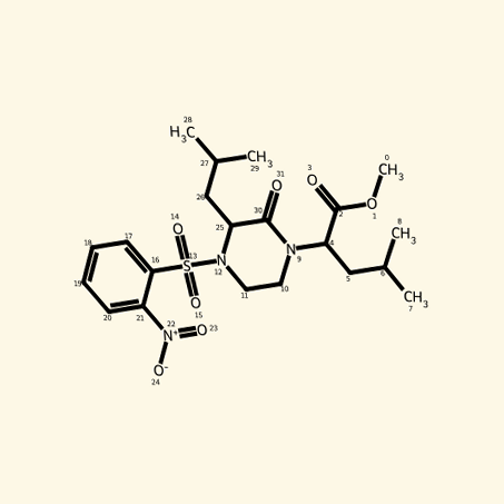 COC(=O)C(CC(C)C)N1CCN(S(=O)(=O)c2ccccc2[N+](=O)[O-])C(CC(C)C)C1=O